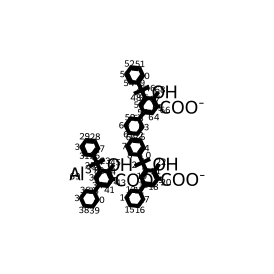 CC(C)(c1ccccc1)c1cc(C2CCCCC2)cc(C(=O)[O-])c1O.CC(C)(c1ccccc1)c1cc(C2CCCCC2)cc(C(=O)[O-])c1O.CC(C)(c1ccccc1)c1cc(C2CCCCC2)cc(C(=O)[O-])c1O.[Al+3]